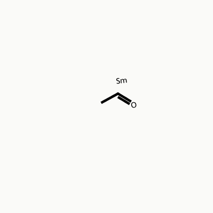 CC=O.[Sm]